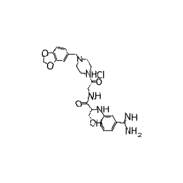 Cl.N=C(N)c1cccc(NC(CO)C(=O)NCC(=O)N2CCN(Cc3ccc4c(c3)OCO4)CC2)c1